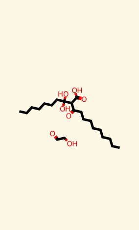 CCCCCCCCCC(=O)C(C(=O)O)C(O)(O)CCCCCCC.O=CCO